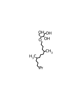 CC(C)CCCC(C)CCCC(C)CCCCO[C@@H](CO)[C@H](O)CO